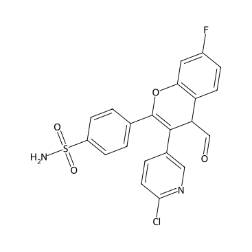 NS(=O)(=O)c1ccc(C2=C(c3ccc(Cl)nc3)C(C=O)c3ccc(F)cc3O2)cc1